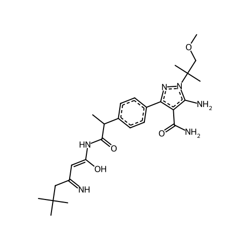 COCC(C)(C)n1nc(-c2ccc(C(C)C(=O)N/C(O)=C/C(=N)CC(C)(C)C)cc2)c(C(N)=O)c1N